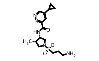 C[C@H]1CN(S(=O)(=O)CCCN)C[C@H]1NC(=O)c1cc(C2CC2)cnn1